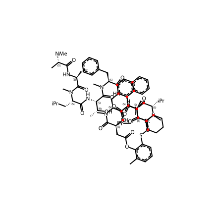 CCSSc1cccc(C)c1OC(=O)C[C@H](NC(=O)[C@H](Cc1ccccc1)NC(=O)[C@H](C(C)C)N(C)C(=O)[C@H](CC(C)C)N(C)C(=O)CNC(=O)[C@H](Cc1ccccc1)N(C)C(=O)[C@@H](NC(=O)[C@H](CC(C)C)N(C)C(=O)[C@@H](NC(=O)[C@H](C)NC)C(C)C)[C@@H](C)O)C(=O)N(C)[C@@H](Cc1ccccc1)C(=O)N[C@@H](C)C(=O)N1CCCCC1